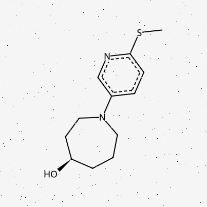 CSc1ccc(N2CCC[C@@H](O)CC2)cn1